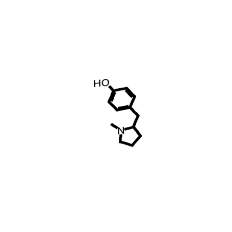 CN1CCCC1Cc1ccc(O)cc1